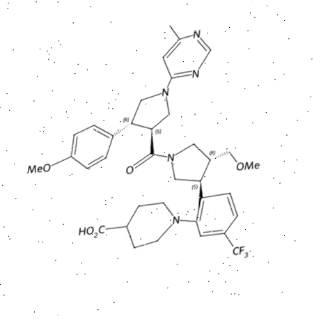 COC[C@H]1CN(C(=O)[C@@H]2CN(c3cc(C)ncn3)C[C@H]2c2ccc(OC)cc2)C[C@@H]1c1ccc(C(F)(F)F)cc1N1CCC(C(=O)O)CC1